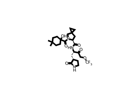 CC1(C)CCC(O)(C(=O)N2CC3(CC3)C[C@H]2C(=O)N[C@@H](C[C@@H]2CCNC2=O)C(=O)COC(F)(F)F)CC1